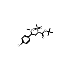 COC(CN(C(=O)OC(C)(C)C)S(C)(=O)=O)c1ccc(Br)cc1